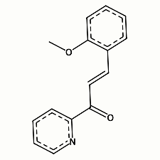 COc1ccccc1C=CC(=O)c1ccccn1